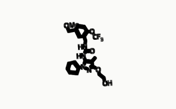 COCc1ccc(OC(F)(F)F)c(CNC(=O)Nc2c(C)c(OCCO)nn2-c2ccccc2)c1